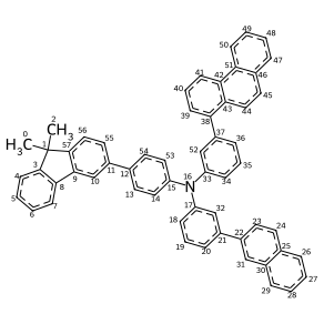 CC1(C)c2ccccc2-c2cc(-c3ccc(N(c4cccc(-c5ccc6ccccc6c5)c4)c4cccc(-c5cccc6c5ccc5ccccc56)c4)cc3)ccc21